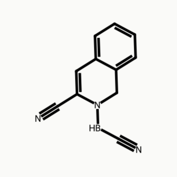 N#CBN1Cc2ccccc2C=C1C#N